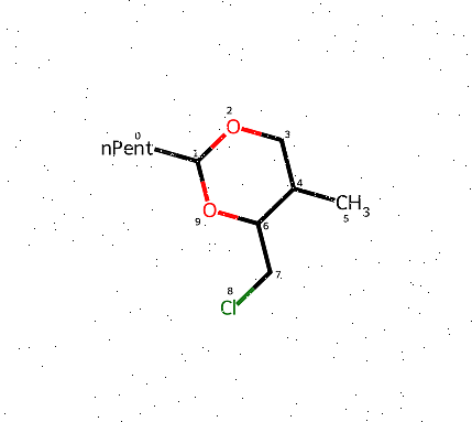 CCCCCC1OCC(C)C(CCl)O1